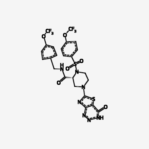 O=C(NCc1ccc(OC(F)(F)F)cc1)[C@H]1CN(c2nc3nn[nH]c(=O)c3s2)CCN1S(=O)(=O)c1ccc(OC(F)(F)F)cc1